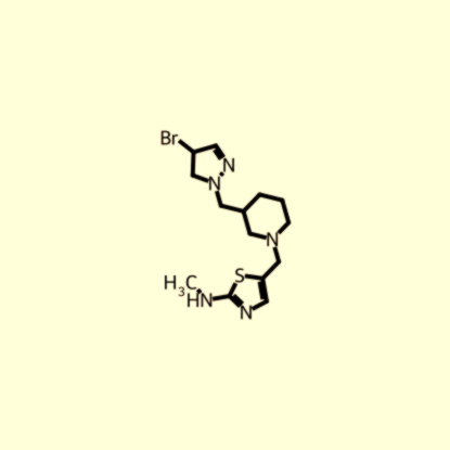 CNc1ncc(CN2CCCC(CN3CC(Br)C=N3)C2)s1